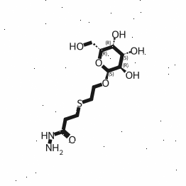 NNC(=O)CCSCCO[C@H]1O[C@H](CO)[C@H](O)[C@H](O)[C@H]1O